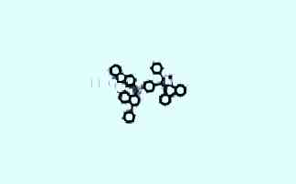 Cn1c(-c2ccccc2)c(-c2ccc(N(c3ccc4c(c3)C(C)(C)c3ccccc3-4)c3ccc(-c4ccccc4)c4ccccc34)cc2)c2c3ccccc3c3ccccc3c21